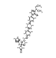 CCC(C)n1ncn(-c2ccc(N3CCN(c4ccc(OCC5COC(Cn6nccn6)(C6CNC6)O5)cc4)CC3)cc2)c1=O